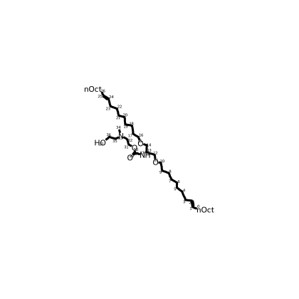 CCCCCCCCC=CCCCCCCCCOCC(COCCCCCCCCC=CCCCCCCCC)NC(=O)OCCN(C)CCO